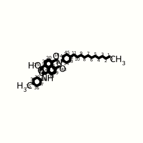 CCCCCCCCCCCCC1CCC(N2C(=O)c3ccc(C(=O)O)c4c(C(=O)NC5CCC(C)CC5)ccc(c34)C2=O)CC1